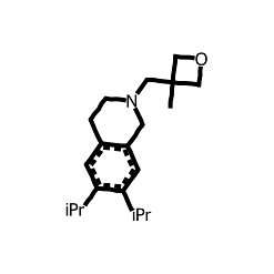 CC(C)c1cc2c(cc1C(C)C)CN(CC1(C)COC1)CC2